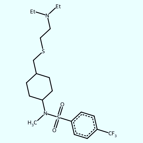 CCN(CC)CCSCC1CCC(N(C)S(=O)(=O)c2ccc(C(F)(F)F)cc2)CC1